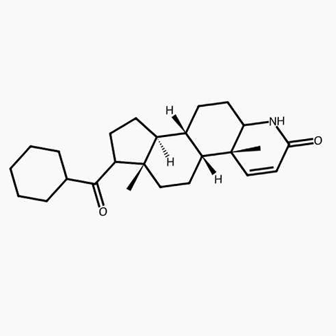 C[C@]12C=CC(=O)NC1CC[C@@H]1[C@H]2CC[C@]2(C)C(C(=O)C3CCCCC3)CC[C@@H]12